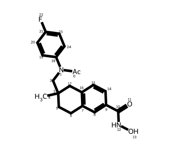 CC(=O)N(CC1(C)CCc2cc(C(=O)NO)ccc2C1)c1ccc(F)cc1